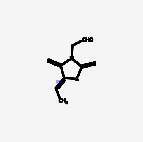 C/C=C1\SC(=S)N(CC=O)C1=S